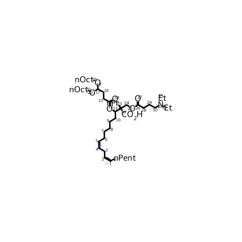 CCCCC/C=C\C/C=C\CCCCCC(OC(=O)CCC(OCCCCCCCC)OCCCCCCCC)C(CCC)(COC(=O)CCCN(CC)CC)C(=O)O